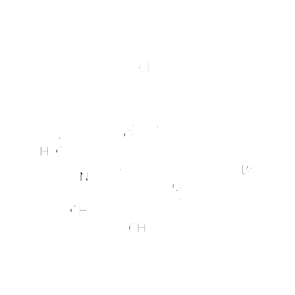 CC(Oc1cc(Cl)ccc1Br)C(=O)N(C)C